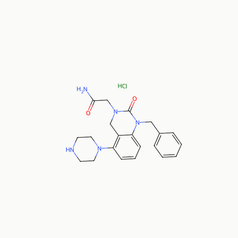 Cl.NC(=O)CN1Cc2c(N3CCNCC3)cccc2N(Cc2ccccc2)C1=O